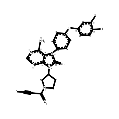 CC#CC(=O)N1CCC(n2c(=O)n(-c3ccc(Oc4ccc(Cl)c(C)c4)cc3)c3c(N)ncnc32)C1